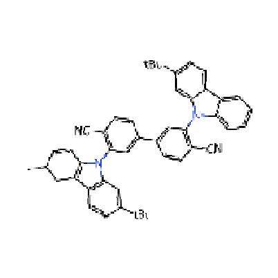 CC1C=Cc2c(c3ccc(C(C)(C)C)cc3n2-c2cc(-c3ccc(C#N)c(-n4c5ccccc5c5ccc(C(C)(C)C)cc54)c3)ccc2C#N)C1